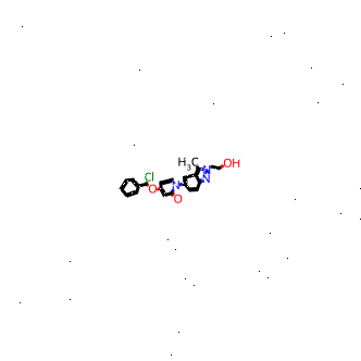 Cc1c2cc(-n3ccc(OC(Cl)c4ccccc4)cc3=O)ccc2nn1CCO